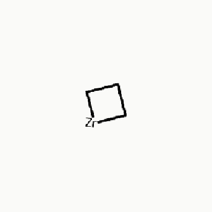 C1[CH2][Zr][CH2]1